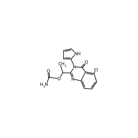 CC(OC(N)=O)c1nc2cccc(Cl)c2c(=O)n1-c1ccc[nH]1